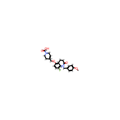 COc1ccc(CN2C(=O)CCc3c(OCC4=CCN(C(=O)O)CC4)ccc(F)c32)cc1